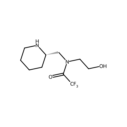 O=C(N(CCO)C[C@@H]1CCCCN1)C(F)(F)F